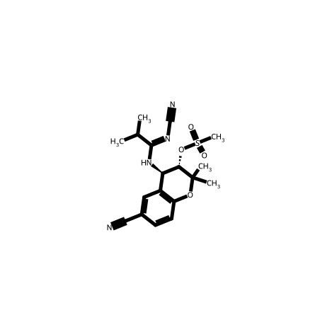 CC(C)C(=NC#N)N[C@@H]1c2cc(C#N)ccc2OC(C)(C)[C@H]1OS(C)(=O)=O